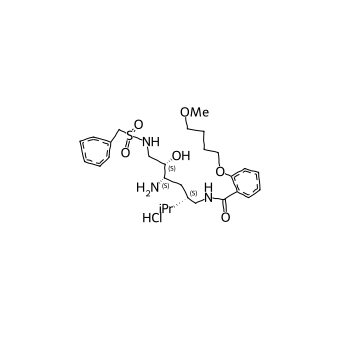 COCCCCOc1ccccc1C(=O)NC[C@@H](C[C@H](N)[C@@H](O)CNS(=O)(=O)Cc1ccccc1)C(C)C.Cl